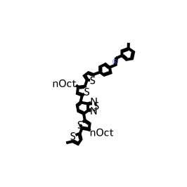 CCCCCCCCc1cc(-c2ccc(-c3cc(CCCCCCCC)c(-c4ccc(-c5ccc(/C=C/c6cccc(C)c6)cc5)s4)s3)c3nsnc23)sc1-c1ccc(C)s1